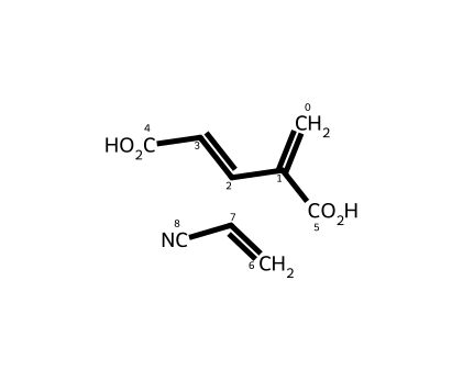 C=C(C=CC(=O)O)C(=O)O.C=CC#N